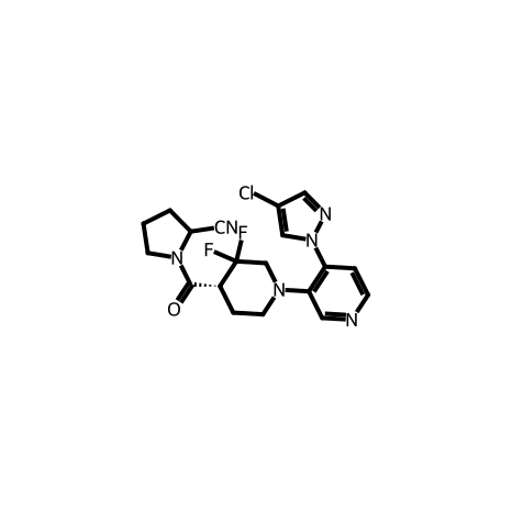 N#CC1CCCN1C(=O)[C@H]1CCN(c2cnccc2-n2cc(Cl)cn2)CC1(F)F